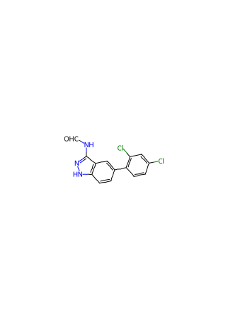 O=CNc1n[nH]c2ccc(-c3ccc(Cl)cc3Cl)cc12